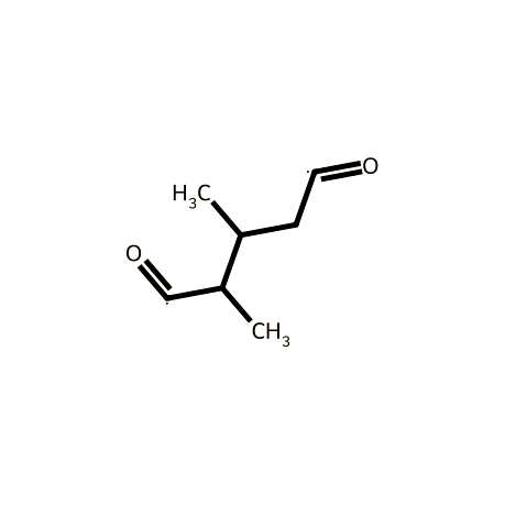 CC([C]=O)C(C)C[C]=O